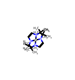 CC(C)(C)N1C=CN(C(C)(C)C)[Si]12N(C(C)(C)C)C=CN2C(C)(C)C